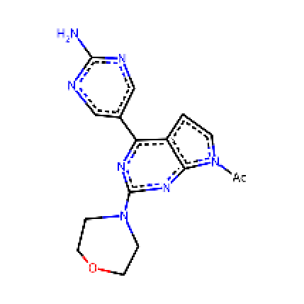 CC(=O)n1ccc2c(-c3cnc(N)nc3)nc(N3CCOCC3)nc21